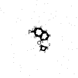 C[C@@H]1CC[C@H]1Oc1cccc2ccc(F)cc12